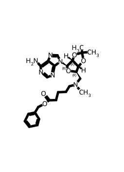 CN(CCCCC(=O)OCc1ccccc1)C[C@H]1O[C@@H](n2cnc3c(N)ncnc32)[C@@H]2OC(C)(C)O[C@@H]21